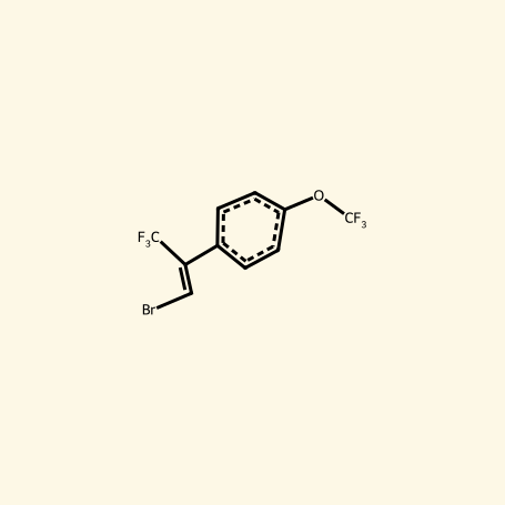 FC(F)(F)Oc1ccc(/C(=C/Br)C(F)(F)F)cc1